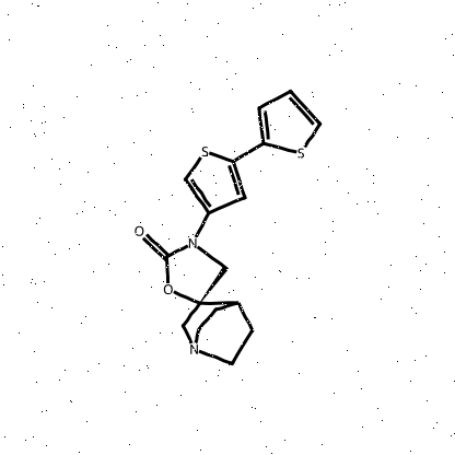 O=C1O[C@]2(CN3CCC2CC3)CN1c1csc(-c2cccs2)c1